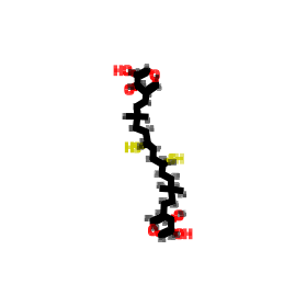 CC(C)(CCc1cocc(O)c1=O)CCC(S)CCC(S)CCC(C)(C)CCc1cocc(O)c1=O